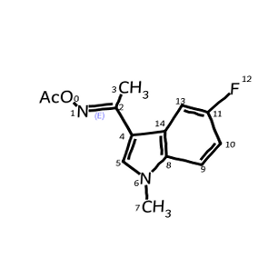 CC(=O)O/N=C(\C)c1cn(C)c2ccc(F)cc12